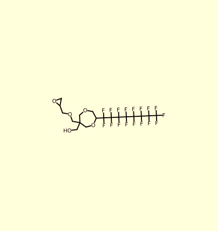 OCC1(COCC2CO2)COCC(C(F)(F)C(F)(F)C(F)(F)C(F)(F)C(F)(F)C(F)(F)C(F)(F)C(F)(F)F)OC1